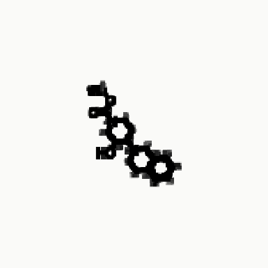 CC(C)(C)OC(=O)N1CCC(N2CCc3ccccc3C2)[C@@H](O)C1